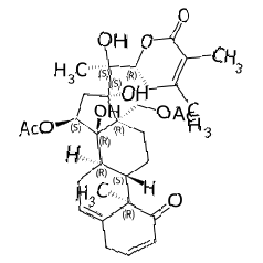 CC(=O)OC[C@]12CC[C@H]3[C@@H](CC=C4CC=CC(=O)[C@@]43C)[C@]1(O)[C@@H](OC(C)=O)C[C@@]2(O)[C@@](C)(O)[C@H]1CC(C)=C(C)C(=O)O1